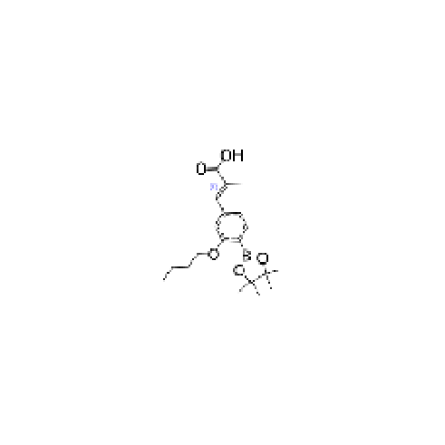 CCCCOc1cc(/C=C(\C)C(=O)O)ccc1B1OC(C)(C)C(C)(C)O1